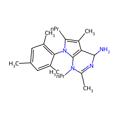 CCCc1c(C)c2c(n1-c1c(C)cc(C)cc1C)N(CCC)C(C)=NC2N